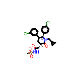 CS(=O)(=O)NC(=O)C[C@@H]1CC(c2cccc(Cl)c2)[C@@H](c2ccc(Cl)cc2)N(CC2CC2)C1=O